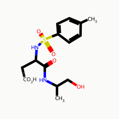 Cc1ccc(S(=O)(=O)NC(CC(=O)O)C(=O)NC(C)CO)cc1